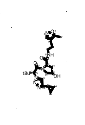 Cc1oncc1CCNC(=O)C1CC(O)CN1C(=O)[C@@H](n1cc(C2CC2)nn1)C(C)(C)C